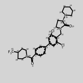 O=C(c1ccc(-c2cc(Cl)c(CN3CC[C@@H](N4CCCCC4)C3=O)c(Cl)c2)cc1)N1CCC(C(F)(F)F)CC1